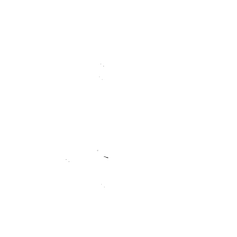 COCCc1nnc(-c2ccc(C(=O)N(c3nccc4scc(C)c34)[C@@H]3CCCNC3)cc2)s1